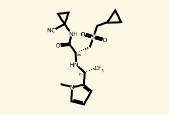 Cn1cccc1[C@H](N[C@@H](CS(=O)(=O)CC1CC1)C(=O)NC1(C#N)CC1)C(F)(F)F